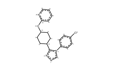 Clc1ccc(-n2cnnc2C2CCC(Oc3ccccn3)CC2)cc1